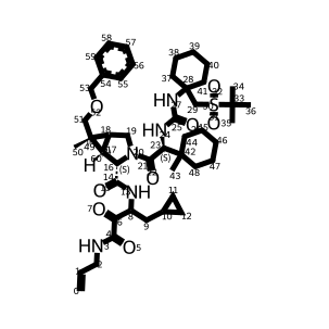 C=CCNC(=O)C(=O)C(CC1CC1)NC(=O)[C@@H]1[C@@H]2C(CN1C(=O)[C@@H](NC(=O)NC1(CS(=O)(=O)C(C)(C)C)CCCCC1)C1(C)CCCCC1)[C@@]2(C)COCc1ccccc1